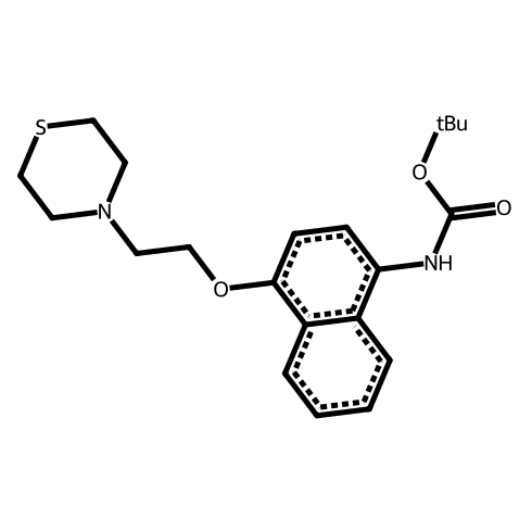 CC(C)(C)OC(=O)Nc1ccc(OCCN2CCSCC2)c2ccccc12